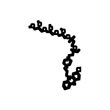 CCC(C)(CCN1CCN(CCCN2c3ccccc3Sc3ccc(Cl)cc32)CC1)OCCC(C)(C)OCC(COCC(COCC(COC)OC)OC)OC